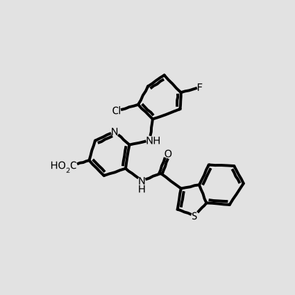 O=C(O)c1cnc(Nc2cc(F)ccc2Cl)c(NC(=O)c2csc3ccccc23)c1